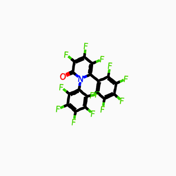 O=c1c(F)c(F)c(F)c(-c2c(F)c(F)c(F)c(F)c2F)n1-c1c(F)c(F)c(F)c(F)c1F